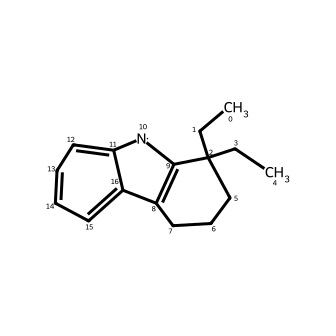 CCC1(CC)CCCC2=C1[N]c1ccccc12